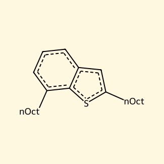 CCCCCCCCc1cc2cccc(CCCCCCCC)c2s1